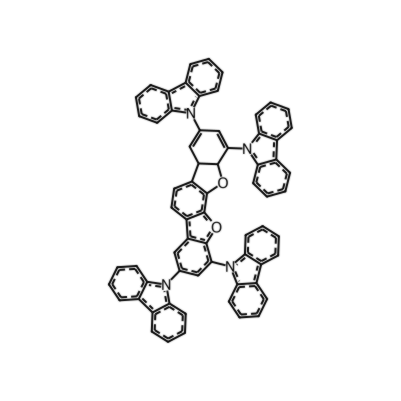 C1=C(n2c3ccccc3c3ccccc32)C=C(n2c3ccccc3c3ccccc32)C2Oc3c(ccc4c3oc3c(-n5c6ccccc6c6ccccc65)cc(-n5c6ccccc6c6ccccc65)cc34)C12